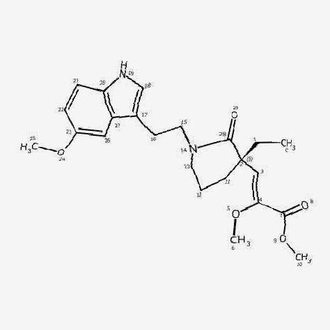 CC[C@@]1(C=C(OC)C(=O)OC)CCCN(CCc2c[nH]c3ccc(OC)cc23)C1=O